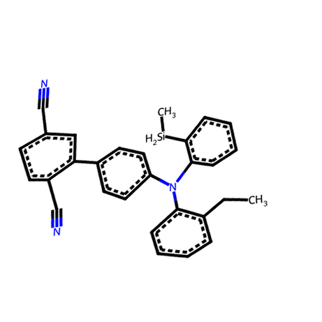 CCc1ccccc1N(c1ccc(-c2cc(C#N)ccc2C#N)cc1)c1ccccc1[SiH2]C